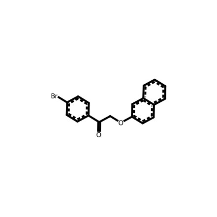 O=C(COc1ccc2ccccc2c1)c1ccc(Br)cc1